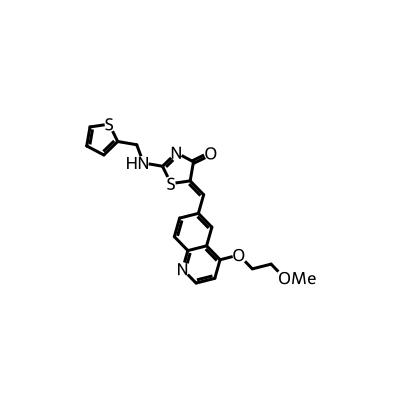 COCCOc1ccnc2ccc(/C=C3\SC(NCc4cccs4)=NC3=O)cc12